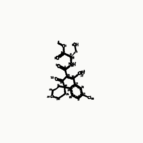 COC(=O)[C@H](CO)NC(=O)C1=C(O)c2cc(Cl)ccc2C2(CCOCC2)C1=O